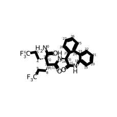 NC(=O)[C@@H](CCC(F)(F)F)[C@@H](CCC(F)(F)F)C(=O)N[C@@H]1C(=O)Nc2ccccc2-c2ccccc21